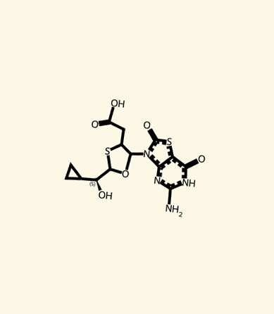 Nc1nc2c(sc(=O)n2C2OC([C@@H](O)C3CC3)SC2CC(=O)O)c(=O)[nH]1